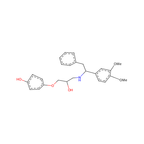 COc1ccc(C(Cc2ccccc2)NCC(O)COc2ccc(O)cc2)cc1OC